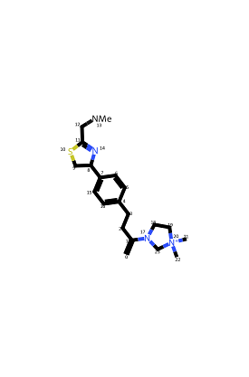 C=C(CCc1ccc(C2CSC(CNC)=N2)cc1)N1CC[N+](C)(C)C1